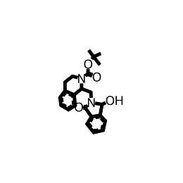 CC(C)(C)OC(=O)N1CCc2ccccc2C1CN1C(=O)c2ccccc2C1O